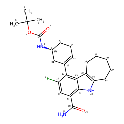 CC(C)(C)OC(=O)N[C@H]1CCC=C(c2c(F)cc(C(N)=O)c3[nH]c4c(c23)CCCCC4)C1